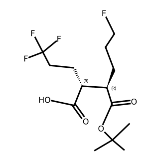 CC(C)(C)OC(=O)[C@H](CCCF)[C@@H](CCC(F)(F)F)C(=O)O